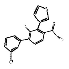 NC(=O)c1ccc(-c2cccc(Cl)c2)c(I)c1-c1ccsc1